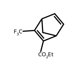 CCOC(=O)C1=C(C(F)(F)F)C2C=CC1C2